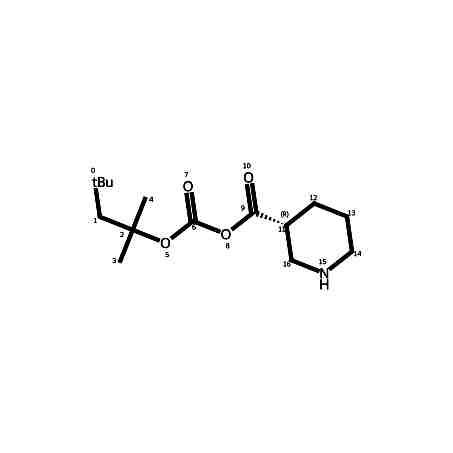 CC(C)(C)CC(C)(C)OC(=O)OC(=O)[C@@H]1CCCNC1